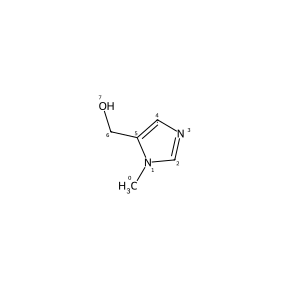 Cn1cn[c]c1CO